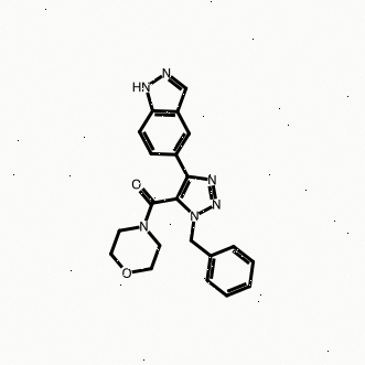 O=C(c1c(-c2ccc3[nH]ncc3c2)nnn1Cc1ccccc1)N1CCOCC1